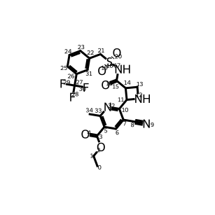 CCOC(=O)c1cc(C#N)c(C2NCC2C(=O)NS(=O)(=O)Cc2cccc(C(F)(F)F)c2)nc1C